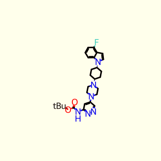 CC(C)(C)OC(=O)Nc1cc(N2CCN([C@H]3CC[C@@H](n4ccc5c(F)cccc54)CC3)CC2)cnn1